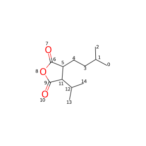 CC(C)CCC1C(=O)OC(=O)C1C(C)C